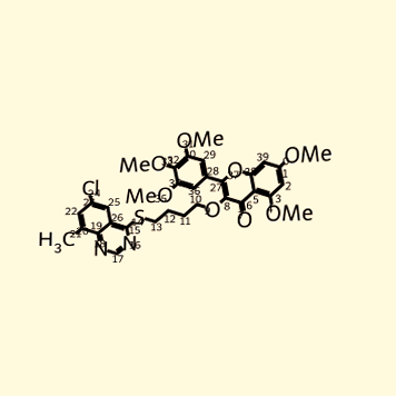 COc1cc(OC)c2c(=O)c(OCCCCSc3ncnc4c(C)cc(Cl)cc34)c(-c3cc(OC)c(OC)c(OC)c3)oc2c1